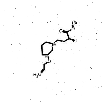 C=CCO[C@H]1CCC[C@@H](CCC(CC)C(=O)OC(C)(C)C)C1